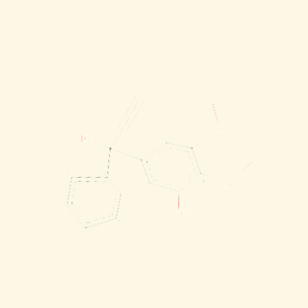 C#CC(O)(c1ccccc1)c1cc(O)c(OC)c(OC)c1